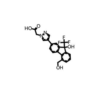 O=C(O)Cn1cc(-c2ccc3c(c2)C(O)(C(F)(F)F)c2cccc(CO)c2-3)cn1